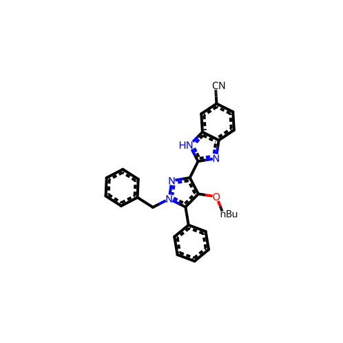 CCCCOc1c(-c2nc3ccc(C#N)cc3[nH]2)nn(Cc2ccccc2)c1-c1ccccc1